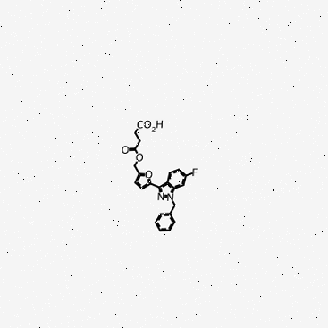 O=C(O)CCC(=O)OCc1ccc(-c2nn(Cc3ccccc3)c3cc(F)ccc23)o1